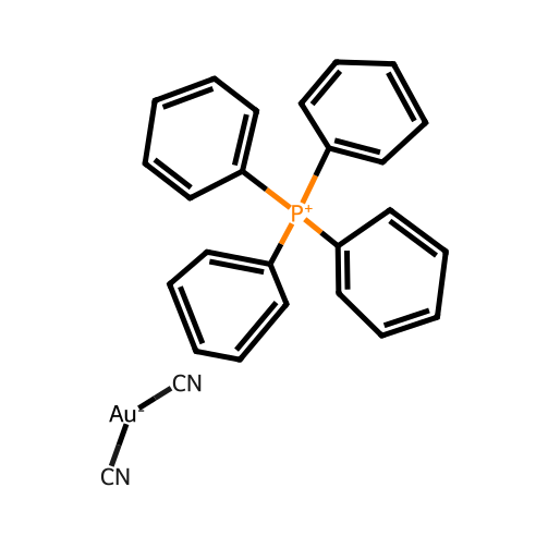 N#[C][Au-][C]#N.c1ccc([P+](c2ccccc2)(c2ccccc2)c2ccccc2)cc1